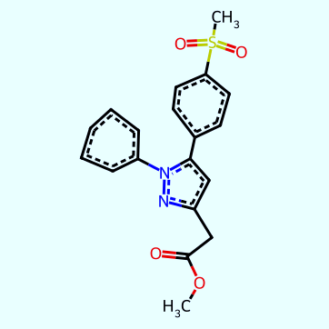 COC(=O)Cc1cc(-c2ccc(S(C)(=O)=O)cc2)n(-c2ccccc2)n1